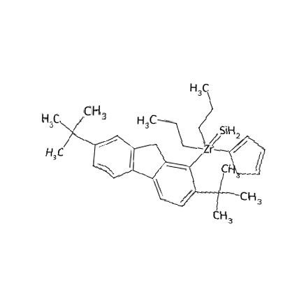 CC[CH2][Zr](=[SiH2])([CH2]CC)([C]1=CC=CC1)[c]1c(C(C)(C)C)ccc2c1Cc1cc(C(C)(C)C)ccc1-2